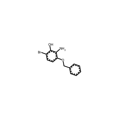 Nc1c(OCc2ccccc2)ccc(Br)c1O